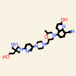 CC1CN(c2ccc(C#N)c3nc(O)ccc23)CC(CN2CCN(c3ccc(N4CC(CN)(CCO)C4)nc3)CC2)O1